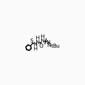 CC(C)(C)N=NC(C)(C)NC(=O)NNC(=S)c1ccccc1